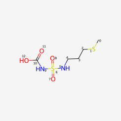 CSCCCNS(=O)(=O)NC(=O)O